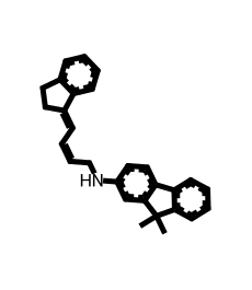 CC1(C)c2ccccc2-c2ccc(NC/C=C\C=C3/CCc4ccccc43)cc21